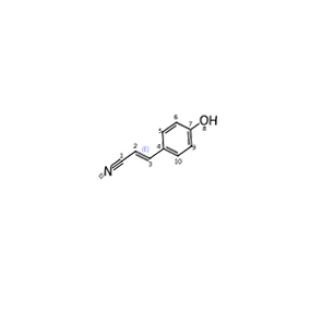 N#C/C=C/c1ccc(O)cc1